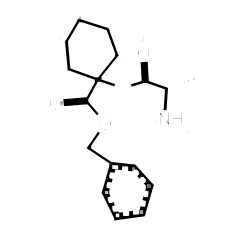 C[C@H](N)C(=O)OC1(C(=O)OCc2ccccc2)CCCCC1